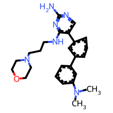 CN(C)c1cccc(-c2cccc(-c3cnc(N)nc3NCCCN3CCOCC3)c2)c1